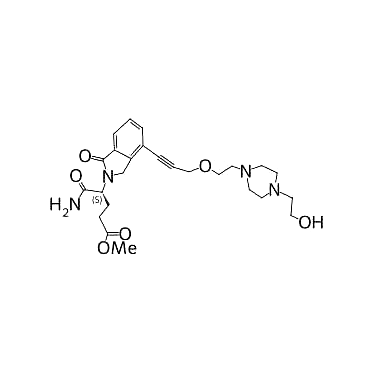 COC(=O)CC[C@@H](C(N)=O)N1Cc2c(C#CCOCCN3CCN(CCO)CC3)cccc2C1=O